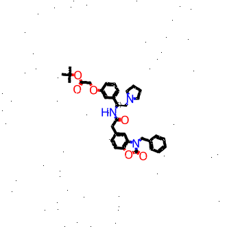 CC(C)(C)OC(=O)COc1cccc([C@@H](CN2CCCC2)NC(=O)Cc2ccc3oc(=O)n(Cc4ccccc4)c3c2)c1